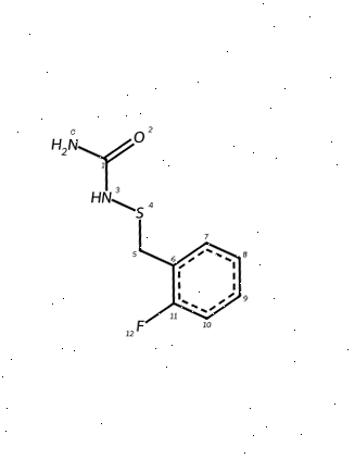 NC(=O)NSCc1ccccc1F